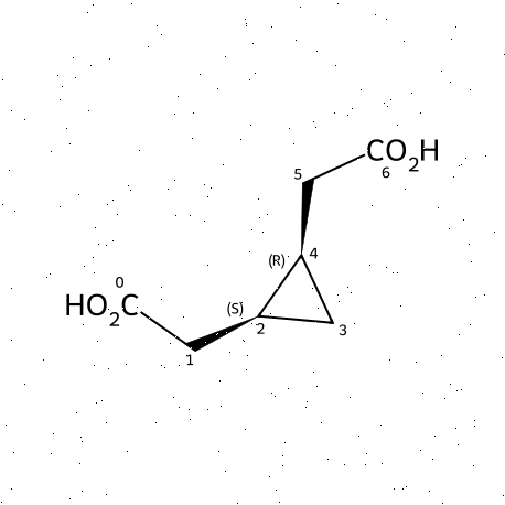 O=C(O)C[C@@H]1C[C@@H]1CC(=O)O